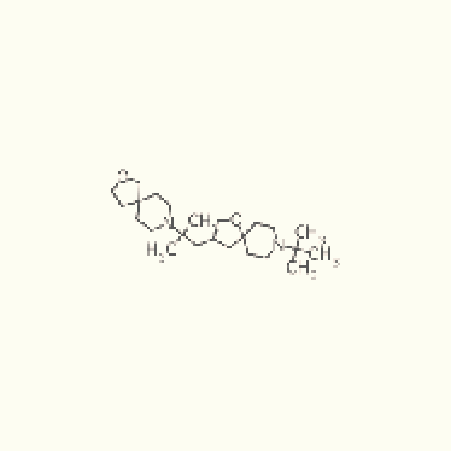 CC(C)(C)N1CCC2(CC1)CC(CC(C)(C)N1CCC3(CCOC3)CC1)CO2